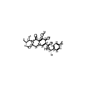 CC[C@@H](C)N1C(=O)c2c(OC)c(=O)c(C(=O)N[C@@H](C)c3ccc(F)cc3)cn2C[C@H]1OC